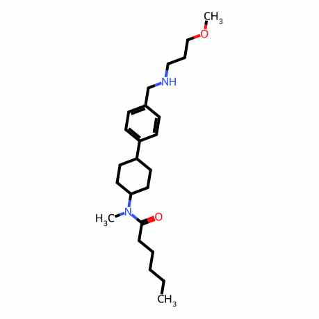 CCCCCC(=O)N(C)C1CCC(c2ccc(CNCCCOC)cc2)CC1